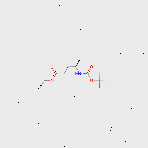 CCOC(=O)CC[C@@H](C)NC(=O)OC(C)(C)C